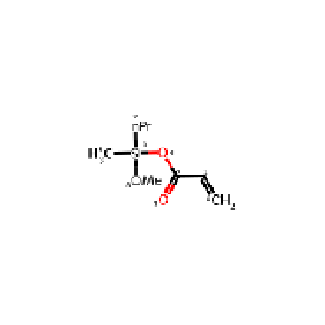 C=CC(=O)O[Si](C)(CCC)OC